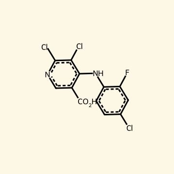 O=C(O)c1cnc(Cl)c(Cl)c1Nc1ccc(Cl)cc1F